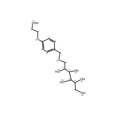 CCCCCCCCCCCCOc1ccc(COCC(O)C(O)C(O)C(O)CO)cc1